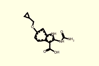 NC(=O)Nc1[nH]c2cc(OCC3CC3)ccc2c1C(=O)O